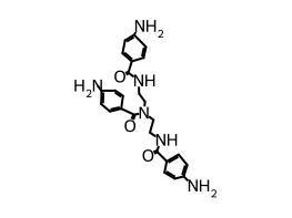 Nc1ccc(C(=O)NCCN(CCNC(=O)c2ccc(N)cc2)C(=O)c2ccc(N)cc2)cc1